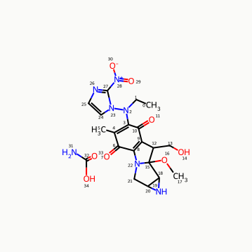 CCN(C1=C(C)C(=O)C2=C(C1=O)C(CO)C1(OC)C3NC3CN21)n1ccnc1[N+](=O)[O-].NC(=O)O